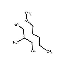 CCCCCOC.OCC(O)CO